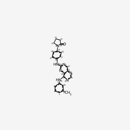 Cc1cccc(Nc2ncnc3cnc(Nc4ccc(N5CCCC5=O)cc4)nc23)c1